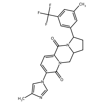 Cc1cc(C2CCC3Cn4c(ccc(-n5cnc(C)c5)c4=O)C(=O)N32)cc(C(F)(F)F)c1